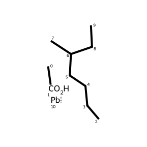 CC(=O)O.CCCCC(C)CC.[Pb]